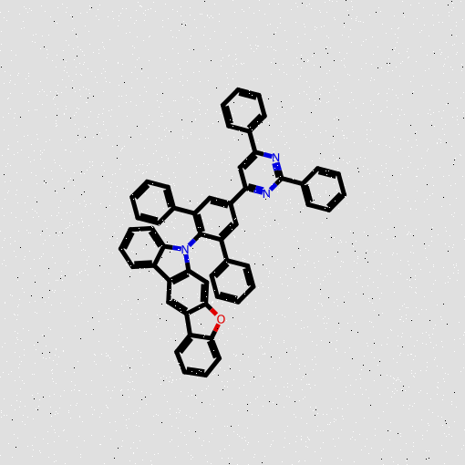 c1ccc(-c2cc(-c3cc(-c4ccccc4)c(-n4c5ccccc5c5cc6c(cc54)oc4ccccc46)c(-c4ccccc4)c3)nc(-c3ccccc3)n2)cc1